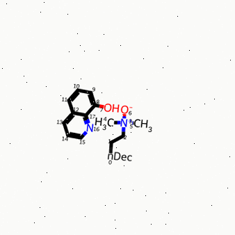 CCCCCCCCCCCC[N+](C)(C)[O-].Oc1cccc2cccnc12